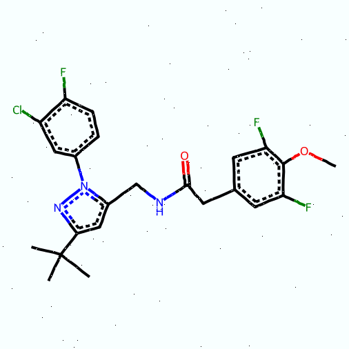 COc1c(F)cc(CC(=O)NCc2cc(C(C)(C)C)nn2-c2ccc(F)c(Cl)c2)cc1F